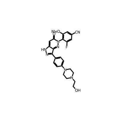 COc1cc(C#N)cc(F)c1-n1nc2c(-c3ccc(N4CCN(CCO)CC4)cc3)n[nH]c2cc1=O